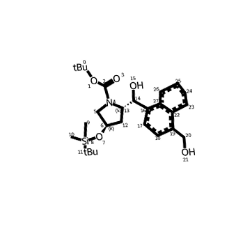 CC(C)(C)OC(=O)N1C[C@H](O[Si](C)(C)C(C)(C)C)C[C@H]1C(O)c1ccc(CO)c2ccccc12